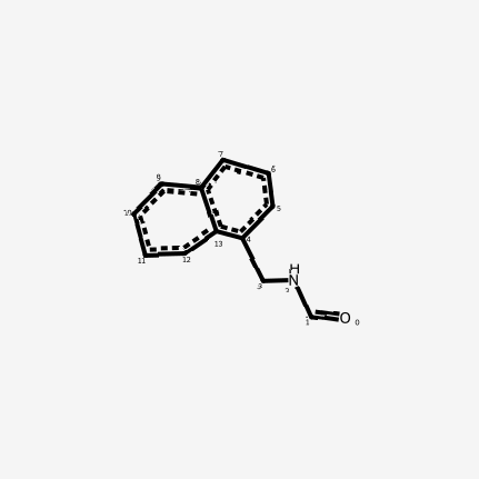 O=[C]NCc1cccc2ccccc12